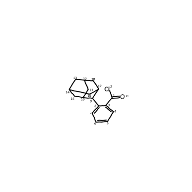 O=C(Cl)c1ccccc1C1C2CC3CC(C2)CC1C3